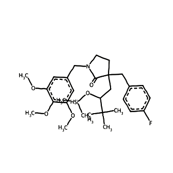 COc1cc(CN2CCC(Cc3ccc(F)cc3)(CC(O[SiH](C)C)C(C)(C)C)C2=O)cc(OC)c1OC